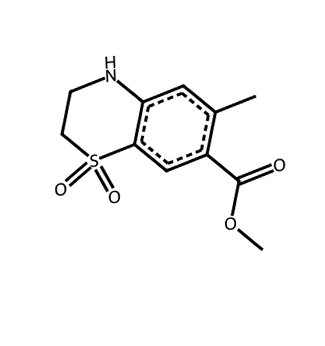 COC(=O)c1cc2c(cc1C)NCCS2(=O)=O